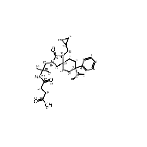 CN(C)[C@]1(c2ccccc2)CC[C@@]2(CC1)CN(CC(C)(C)NC(=O)CCC(=O)O)C(=O)N2CC1CC1